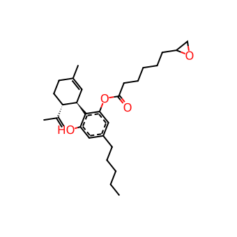 C=C(C)[C@@H]1CCC(C)=C[C@H]1c1c(O)cc(CCCCC)cc1OC(=O)CCCCCC1CO1